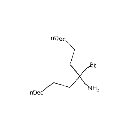 CCCCCCCCCCCCC(N)(CC)CCCCCCCCCCCC